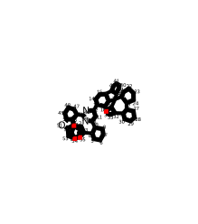 c1ccc(-c2ccccc2-c2cc(-c3ccc4c(c3)C3(c5ccccc5-c5ccccc5-c5ccccc53)c3ccccc3-4)nc(-c3cccc4oc5ccccc5c34)n2)cc1